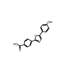 COc1ccc(-c2cnc(-c3ccc(C(=O)O)cc3)o2)cc1